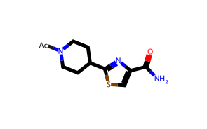 CC(=O)N1CCC(c2nc(C(N)=O)cs2)CC1